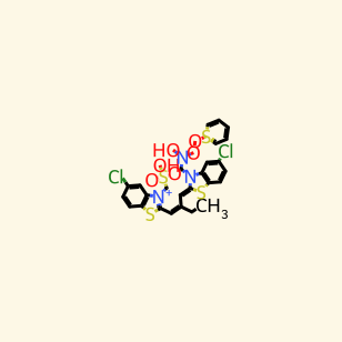 CCC(=Cc1sc2ccc(Cl)cc2[n+]1CS(=O)(=O)O)C=C1Sc2ccc(Cl)cc2N1CN(O)OOS1=CC=CC=C1